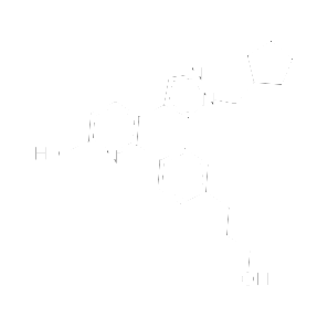 Cc1ccc(-c2cnn(CC3CCCC3)c2)c(-c2ccc(CCCO)cc2)n1